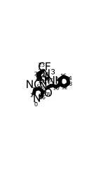 CN1CCC(C#N)(NC(=O)C(CC2CCCCC2)Nc2nccc(C(F)(F)F)n2)CC1